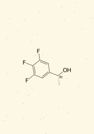 C[C@@H](O)c1cc(F)c(F)c(F)c1